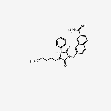 CC1(c2ccccc2)C(=O)N(Cc2ccc3ccc(C(=N)N)cc3c2)C(=O)N1CCCCC(=O)O